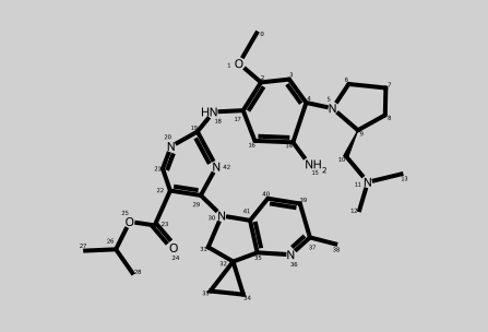 COc1cc(N2CCC[C@H]2CN(C)C)c(N)cc1Nc1ncc(C(=O)OC(C)C)c(N2CC3(CC3)c3nc(C)ccc32)n1